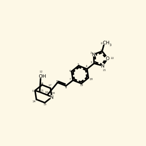 Cc1nc(-c2ccc(C=CC3C(O)C4CCN3CC4)cc2)no1